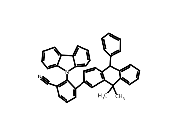 CC1(C)c2ccccc2C(c2ccccc2)c2ccc(-c3cccc(C#N)c3-n3c4ccccc4c4ccccc43)cc21